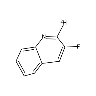 [2H]c1nc2ccccc2cc1F